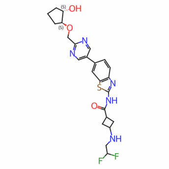 O=C(Nc1nc2ccc(-c3cnc(CO[C@H]4CCC[C@@H]4O)nc3)cc2s1)C1CC(NCC(F)F)C1